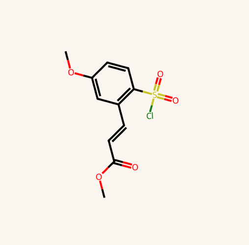 COC(=O)C=Cc1cc(OC)ccc1S(=O)(=O)Cl